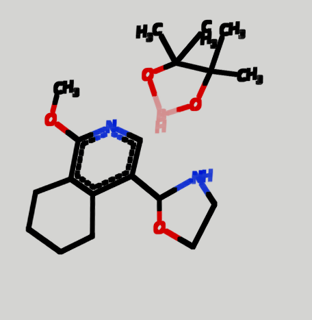 CC1(C)OBOC1(C)C.COc1ncc(C2NCCO2)c2c1CCCC2